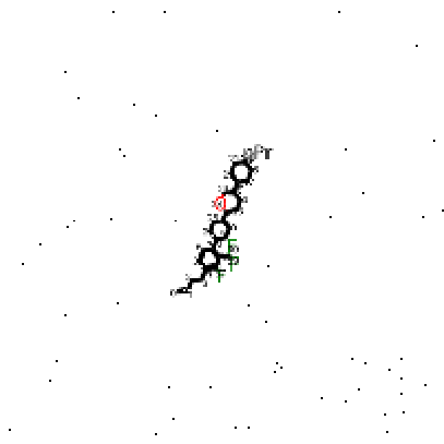 C=CCCc1ccc(C2CCC(C3CCC(C4CCC(CCC)CC4)CO3)CC2)c(C(F)F)c1F